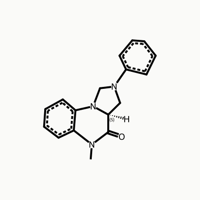 CN1C(=O)[C@@H]2CN(c3ccccc3)CN2c2ccccc21